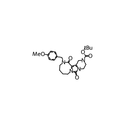 COc1ccc(CN2CCCCn3c(c4n(c3=O)CCN(C(=O)OC(C)(C)C)C4)C2=O)cc1